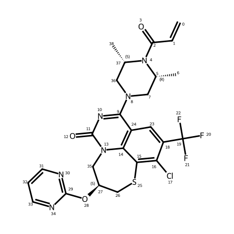 C=CC(=O)N1[C@H](C)CN(c2nc(=O)n3c4c(c(Cl)c(C(F)(F)F)cc24)SC[C@@H](Oc2ncccn2)C3)C[C@@H]1C